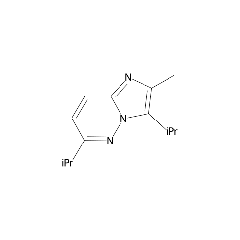 Cc1nc2ccc(C(C)C)nn2c1C(C)C